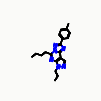 CCCCc1nc2c(cnn2CCC)c2nc(-c3ccc(C)cc3)nn12